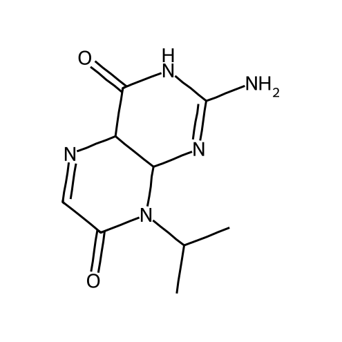 CC(C)N1C(=O)C=NC2C(=O)NC(N)=NC21